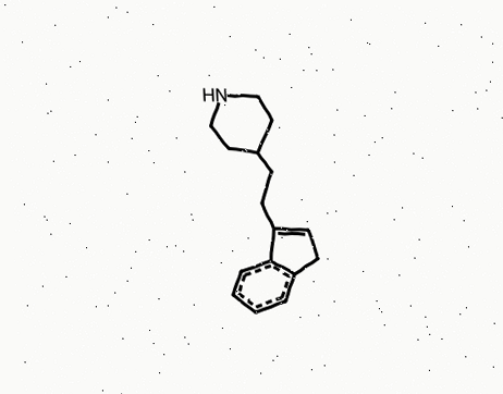 C1=C(CCC2CCNCC2)c2ccccc2C1